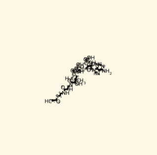 C#CC(=O)SCCNC(=O)CCNC(=O)[C@H](O)C(C)(C)COP(=O)(O)OP(=O)(O)OC[C@H]1O[C@@H](n2cnc3c(N)ncnc32)[C@H](O)[C@@H]1OP(=O)(O)O